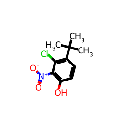 CC(C)(C)c1ccc(O)c([N+](=O)[O-])c1Cl